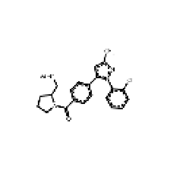 COCC1CCCN1C(=O)c1ccc(-c2cc(C(F)(F)F)nn2-c2ccccc2Cl)cc1